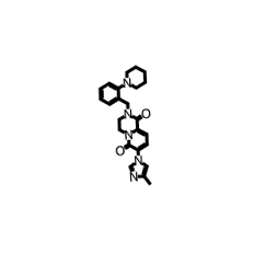 Cc1cn(-c2ccc3n(c2=O)CCN(Cc2ccccc2N2CCCCC2)C3=O)cn1